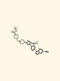 CC(C)Nc1cc(-c2ccc3cc(C#N)cnn23)ncc1-c1cn(C2CCN(CC3CCN(C(=O)OC(C)(C)C)CC3)CC2)nn1